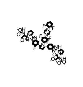 COC(=O)NC(C(=O)N1CCC[C@H]1c1nc2cc([C@@H]3CC[C@@H](c4cc5nc([C@@H]6CCCN6C(=O)[C@@H](NC(=O)OC)[C@@H](C)OC)[nH]c5cc4F)N3c3cc(F)c(N4CCN(c5c(F)cccc5F)CC4)c(F)c3)c(F)cc2[nH]1)[C@@H](C)OC